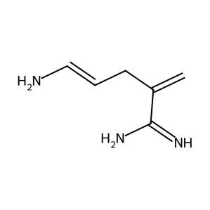 C=C(CC=CN)C(=N)N